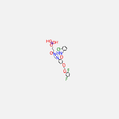 O=C(NCc1ccccc1Cl)[C@H]1CN(C(=O)CCCON(O)O)CCN1c1ccc(OCCOc2cc(F)ccc2F)cc1